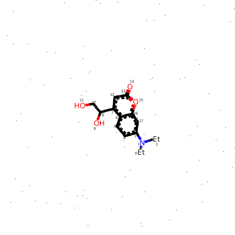 CCN(CC)c1ccc2c(C(O)CO)cc(=O)oc2c1